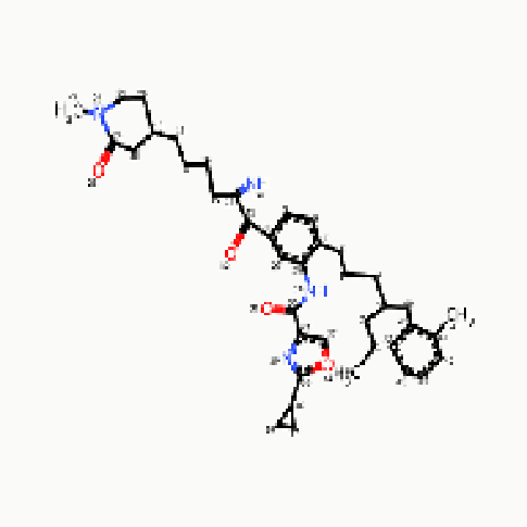 CCCC(CCCc1ccc(C(=O)C(=N)CCCCC2CCN(C)C(=O)C2)cc1NC(=O)c1coc(C2CC2)n1)Cc1ccccc1C